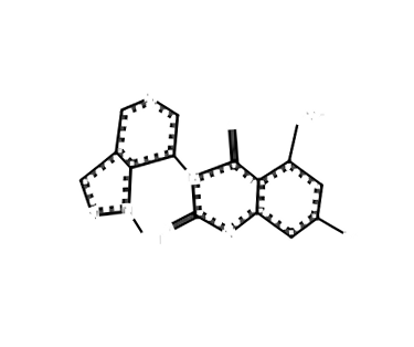 COc1cc(Br)cc2[nH]c(=O)n(-c3cncc4cnn(C)c34)c(=O)c12